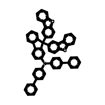 c1ccc(-c2ccc(N(c3ccc(-c4ccccc4)cc3)c3ccc4c(c3)C(c3ccc5oc6ccccc6c5c3)(c3ccc5oc6ccccc6c5c3)c3ccccc3-4)cc2)cc1